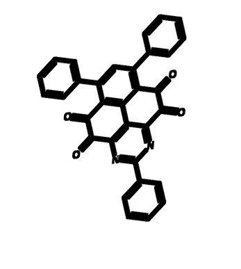 O=c1c(=O)c2c(-c3ccccc3)cc(-c3ccccc3)c3c2-c2c1nc(-c1ccccc1)nc2c(=O)c3=O